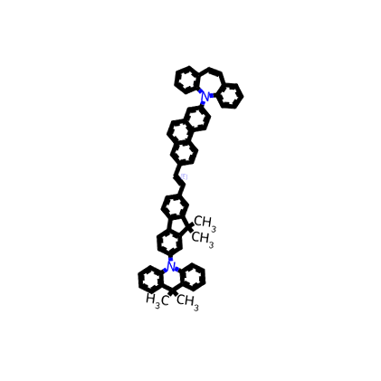 CC1(C)c2cc(/C=C/c3ccc4c(ccc5cc(N6c7ccccc7C=Cc7ccccc76)ccc54)c3)ccc2-c2ccc(N3c4ccccc4C(C)(C)c4ccccc43)cc21